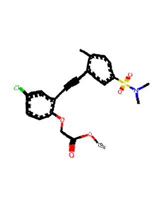 Cc1ccc(S(=O)(=O)N(C)C)cc1C#Cc1cc(Cl)ccc1OCC(=O)OC(C)(C)C